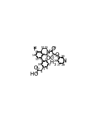 COc1ccc(CC(=O)O)cc1-c1ccc(F)c2c1CN(C(=O)COc1cccnc1)CC2